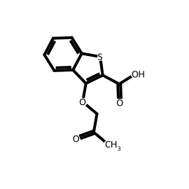 CC(=O)COc1c(C(=O)O)sc2ccccc12